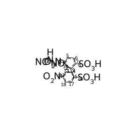 N#CN[N+](=O)[O-].O=[N+]([O-])c1ccc(S(=O)(=O)O)cc1.O=[N+]([O-])c1ccc(S(=O)(=O)O)cc1